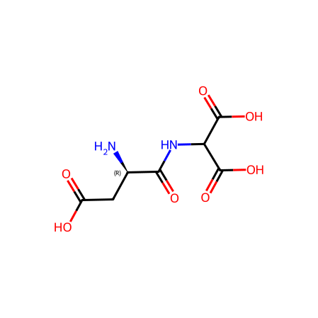 N[C@H](CC(=O)O)C(=O)NC(C(=O)O)C(=O)O